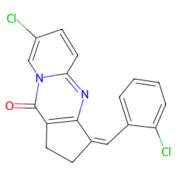 O=c1c2c(nc3ccc(Cl)cn13)/C(=C\c1ccccc1Cl)CC2